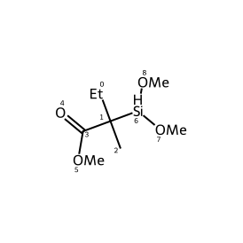 CCC(C)(C(=O)OC)[SiH](OC)OC